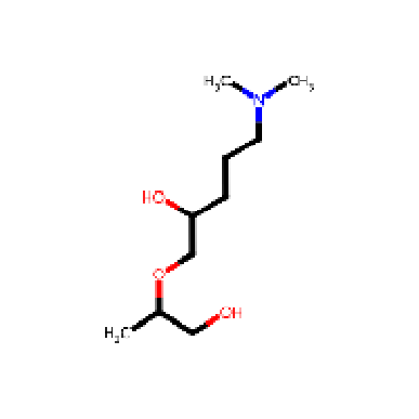 CC(CO)OCC(O)CCCN(C)C